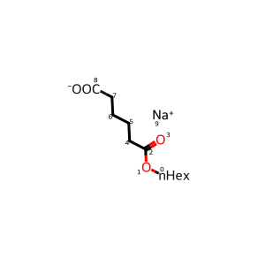 CCCCCCOC(=O)CCCCC(=O)[O-].[Na+]